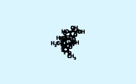 COc1ccc2c3c1O[C@@H]1[C@]34CCN(C)[C@H](C2)[C@@H]4C=C[C@]1(O)O[C@@H]1O[C@H](CO)[C@@H](O)[C@H](O)[C@H]1OC(C)=O